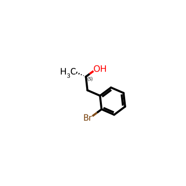 C[C@H](O)Cc1ccccc1Br